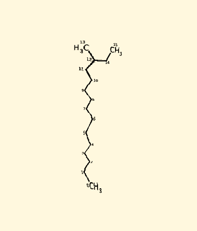 CCCCCCCCCCCC[C](C)CC